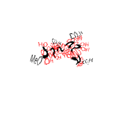 COC1OC(CO)C(OC2OC(CO)C(OC3OC(CO)C(OC4OC(CO)C(OC5OC(CO)C(OC6OC(CO)C(C)C(O)C6OC(O)C(=O)O)C(O)C5O)C(O)C4OC(O)C(=O)O)C(O)C3O)C(O)C2OC(O)C(=O)O)C(O)C1O